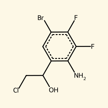 Nc1c(C(O)CCl)cc(Br)c(F)c1F